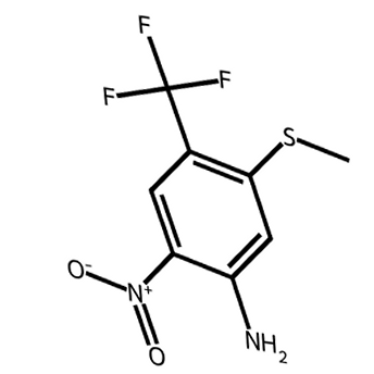 CSc1cc(N)c([N+](=O)[O-])cc1C(F)(F)F